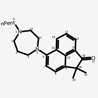 CCCCCN1CCCN(c2ccc3c4c(cccc24)C(=O)C3(C)C)CC1